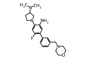 CN(C)C1CCN(c2cc(F)c(-c3cccc(CN4CCOCC4)c3)cc2N)C1